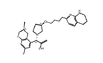 C=C(O)[C@H](c1cc(F)cc2c1C[C@H](C)CO2)N1CC[C@@H](OCCCCc2ccc3c(n2)NCCC3)C1